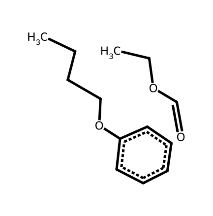 CCCCOc1ccccc1.CCOC=O